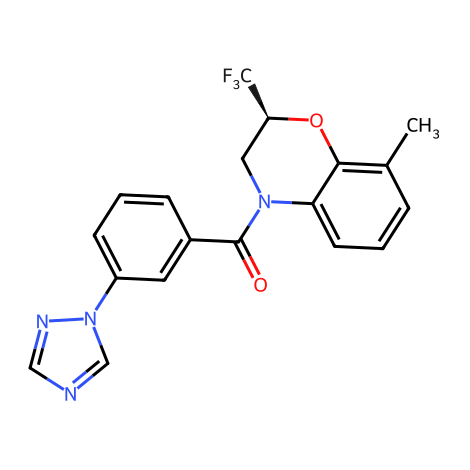 Cc1cccc2c1O[C@H](C(F)(F)F)CN2C(=O)c1cccc(-n2cncn2)c1